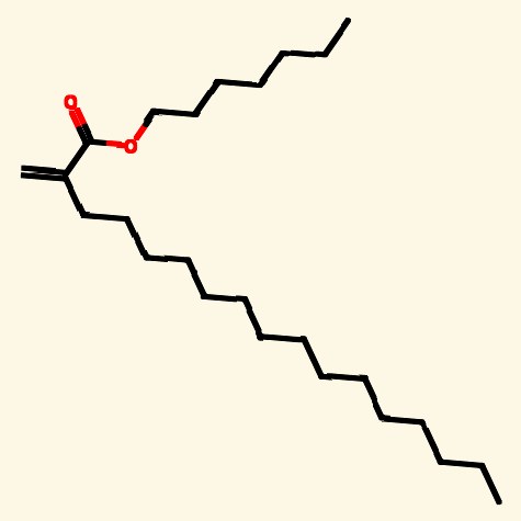 C=C(CCCCCCCCCCCCCCC)C(=O)OCCCCCCC